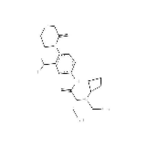 CC(C)(C)CN(C1CCC1)[C@H](CN)C(=O)Nc1ccc(N2CCOCC2=O)c(C(F)F)c1